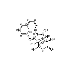 O=C1C[C@H]2CC[C@@H]1[C@H]1C(=O)N(c3cccc4cnccc34)C(=O)[C@@H]21